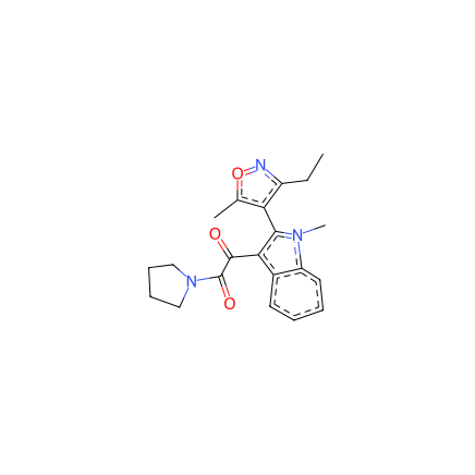 CCc1noc(C)c1-c1c(C(=O)C(=O)N2CCCC2)c2ccccc2n1C